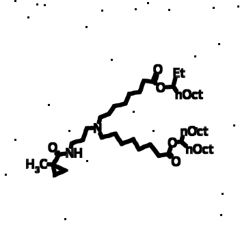 CCCCCCCCC(CC)OC(=O)CCCCCCCN(CCCCCCCC(=O)OC(CCCCCCCC)CCCCCCCC)CCCNC(=O)C1(C)CC1